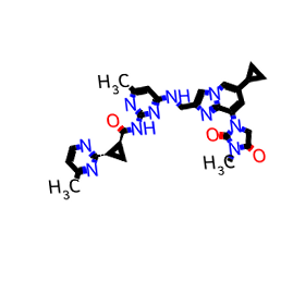 Cc1cc(NCc2cn3cc(C4CC4)cc(N4CC(=O)N(C)C4=O)c3n2)nc(NC(=O)[C@H]2C[C@@H]2c2nccc(C)n2)n1